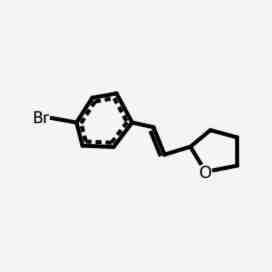 Brc1ccc(C=CC2CCCO2)cc1